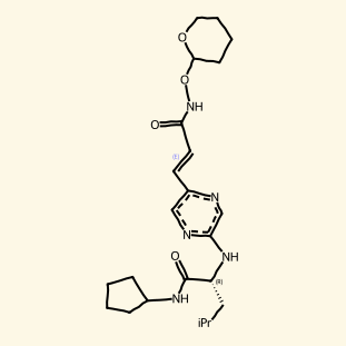 CC(C)C[C@@H](Nc1cnc(/C=C/C(=O)NOC2CCCCO2)cn1)C(=O)NC1CCCC1